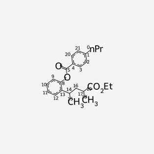 CCCc1ccc(C(=O)Oc2ccccc2C(C)CC(C)C(=O)OCC)cc1